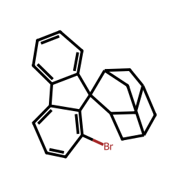 Brc1cccc2c1C1(c3ccccc3-2)C2CC3CC(C2)CC1C3